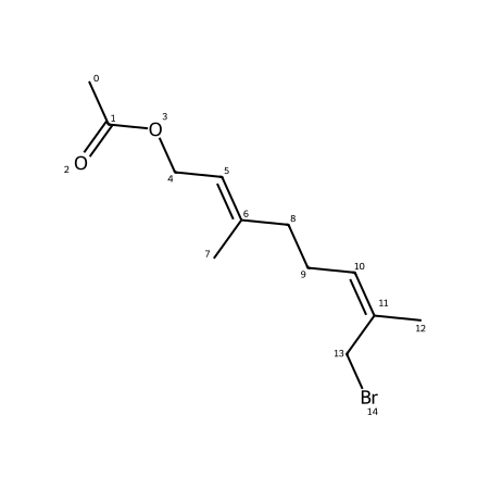 CC(=O)OC/C=C(\C)CCC=C(C)CBr